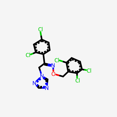 Clc1ccc(C(Cn2cncn2)=NOCc2c(Cl)ccc(Cl)c2Cl)c(Cl)c1